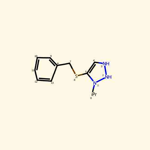 CC(C)N1NNC=C1SCc1ccccc1